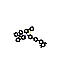 CC1(C)CCC(C)(C)c2cc(-c3ccc(-c4ccc(N(c5ccc6c(c5)C(c5ccccc5)(c5ccccc5)c5ccccc5-6)c5cccc6c5sc5ccccc56)cc4)cc3)ccc21